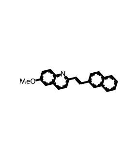 COc1ccc2nc(/C=C/c3ccc4ccccc4c3)ccc2c1